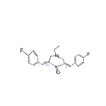 CCN1C/C(=C\c2ccc(F)cc2)C(=O)/C(=C/c2ccc(F)cc2)C1